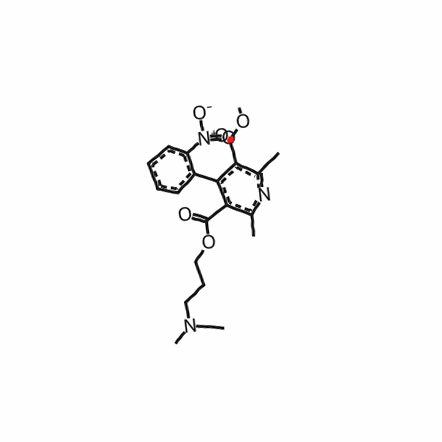 COC(=O)c1c(C)nc(C)c(C(=O)OCCCN(C)C)c1-c1ccccc1[N+](=O)[O-]